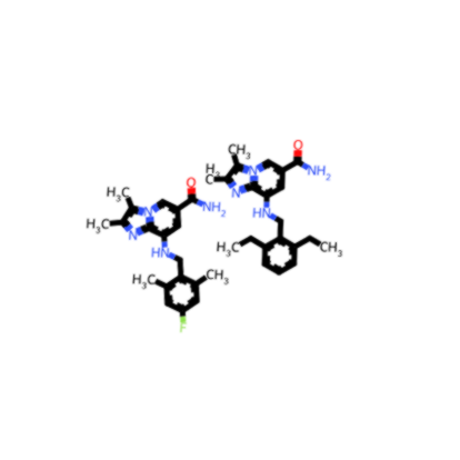 CCc1cccc(CC)c1CNc1cc(C(N)=O)cn2c(C)c(C)nc12.Cc1cc(F)cc(C)c1CNc1cc(C(N)=O)cn2c(C)c(C)nc12